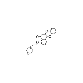 O=C1C(Oc2ccccc2)=CC(=O)c2c(OCCN3CCOCC3)cccc21